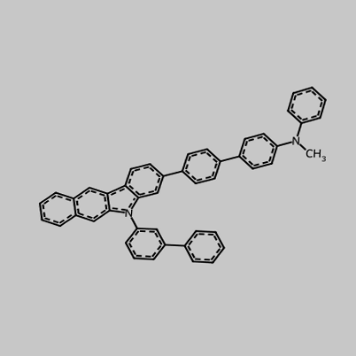 CN(c1ccccc1)c1ccc(-c2ccc(-c3ccc4c5cc6ccccc6cc5n(-c5cccc(-c6ccccc6)c5)c4c3)cc2)cc1